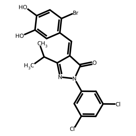 CC(C)C1=NN(c2cc(Cl)cc(Cl)c2)C(=O)/C1=C/c1cc(O)c(O)cc1Br